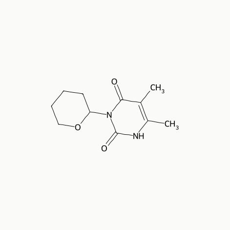 Cc1[nH]c(=O)n(C2CCCCO2)c(=O)c1C